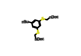 [CH2]CCCc1cc(SCCCCCCCCCCC)cc(SCCCCCCCCCCC)c1